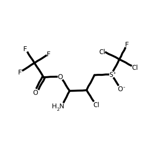 NC(OC(=O)C(F)(F)F)C(Cl)C[S+]([O-])C(F)(Cl)Cl